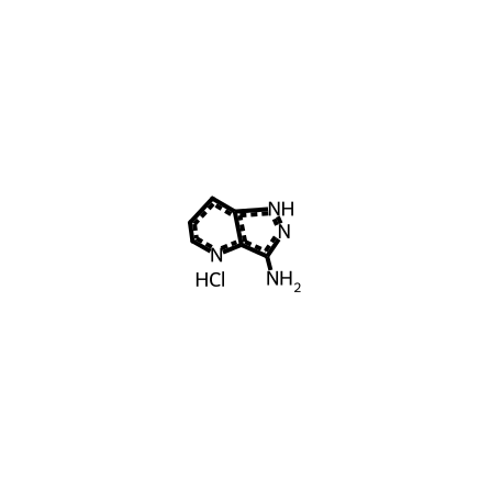 Cl.Nc1n[nH]c2cccnc12